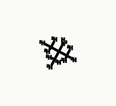 [2H]C([2H])([2H])C(N)(C([2H])([2H])[2H])C([2H])([2H])[2H]